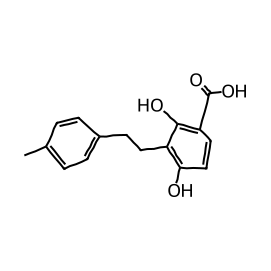 Cc1ccc(CCc2c(O)ccc(C(=O)O)c2O)cc1